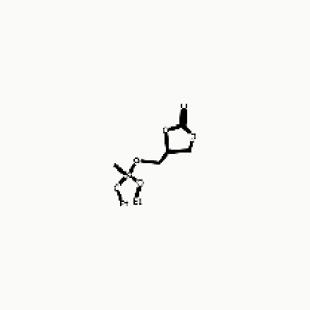 CCO[Si](C)(OCC)OCC1COC(=O)O1